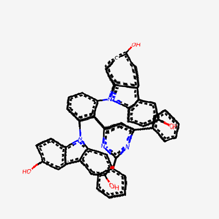 Oc1ccc2c(c1)c1cc(O)ccc1n2-c1cccc(-n2c3ccc(O)cc3c3cc(O)ccc32)c1-c1cc(-c2ccccc2)nc(-c2ccccc2)n1